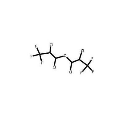 FC(F)(F)C(Cl)C(Cl)OC(Cl)C(Cl)C(F)(F)F